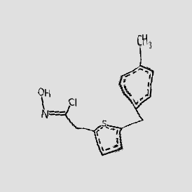 Cc1ccc(Cc2ccc(CC(Cl)=NO)s2)cc1